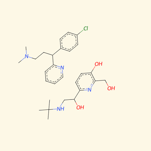 CC(C)(C)NCC(O)c1ccc(O)c(CO)n1.CN(C)CCC(c1ccc(Cl)cc1)c1ccccn1